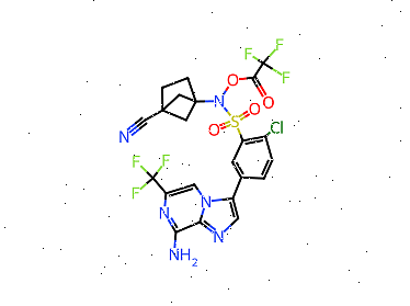 N#CC12CCC(N(OC(=O)C(F)(F)F)S(=O)(=O)c3cc(-c4cnc5c(N)nc(C(F)(F)F)cn45)ccc3Cl)(C1)C2